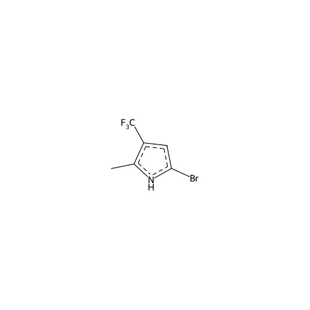 Cc1[nH]c(Br)cc1C(F)(F)F